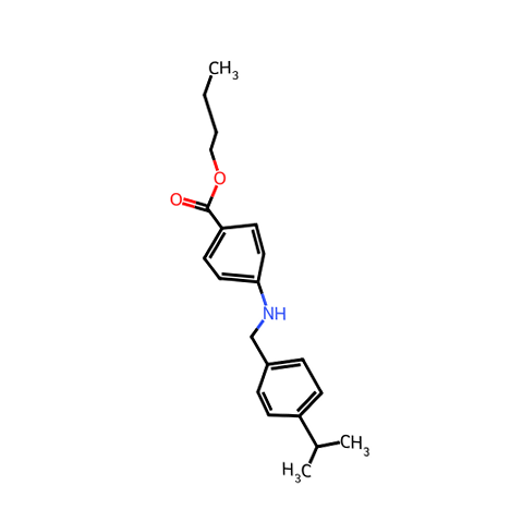 CCCCOC(=O)c1ccc(NCc2ccc(C(C)C)cc2)cc1